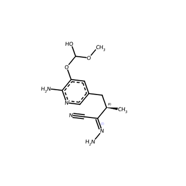 COC(O)Oc1cc(C[C@@H](C)/C(C#N)=N/N)cnc1N